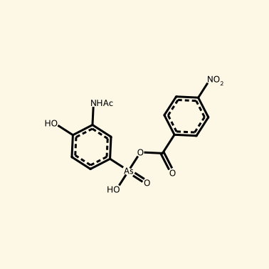 CC(=O)Nc1cc([As](=O)(O)OC(=O)c2ccc([N+](=O)[O-])cc2)ccc1O